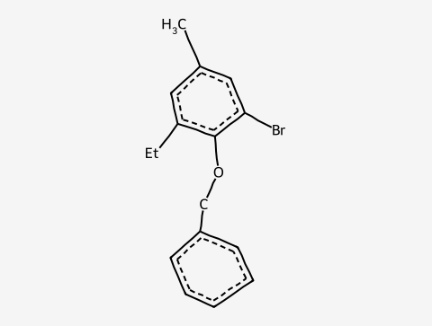 CCc1cc(C)cc(Br)c1OCc1ccccc1